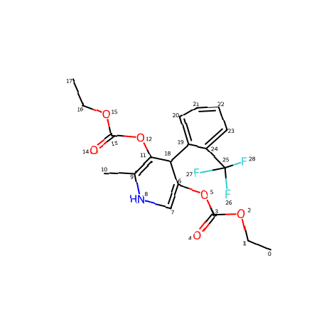 CCOC(=O)OC1=CNC(C)=C(OC(=O)OCC)C1c1ccccc1C(F)(F)F